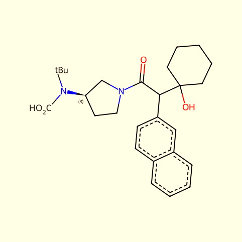 CC(C)(C)N(C(=O)O)[C@@H]1CCN(C(=O)C(c2ccc3ccccc3c2)C2(O)CCCCC2)C1